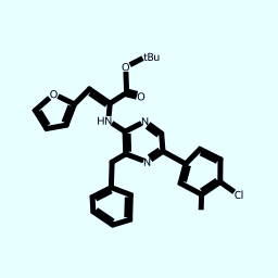 Cc1cc(-c2cnc(N/C(=C\c3ccco3)C(=O)OC(C)(C)C)c(Cc3ccccc3)n2)ccc1Cl